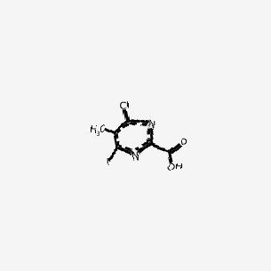 Cc1c(Cl)nc(C(=O)O)nc1I